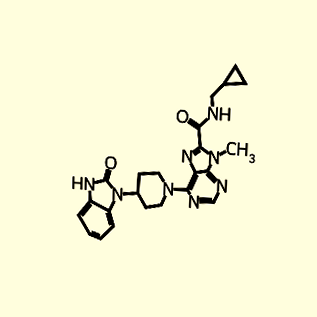 Cn1c(C(=O)NCC2CC2)nc2c(N3CCC(n4c(=O)[nH]c5ccccc54)CC3)ncnc21